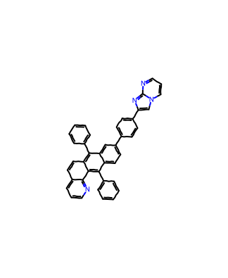 c1ccc(-c2c3cc(-c4ccc(-c5cn6cccnc6n5)cc4)ccc3c(-c3ccccc3)c3c2ccc2cccnc23)cc1